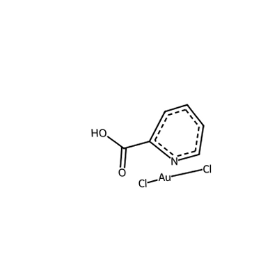 O=C(O)c1ccccn1.[Cl][Au][Cl]